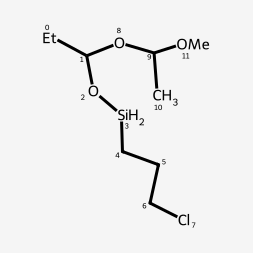 CCC(O[SiH2]CCCCl)OC(C)OC